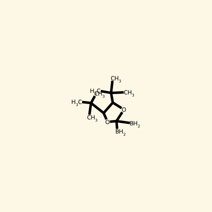 BC1(B)OC(C(C)(C)C)C(C(C)(C)C)O1